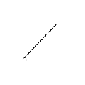 CCCCCCCCCCCCCCCCCCCC(=O)OCCCCCCCC